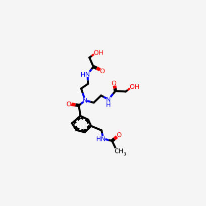 CC(=O)NCc1cccc(C(=O)N(CCNC(=O)CO)CCNC(=O)CO)c1